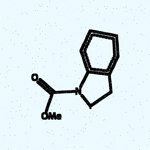 COC(=O)N1[CH]Cc2ccccc21